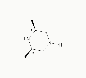 [2H]N1C[C@@H](C)N[C@@H](C)C1